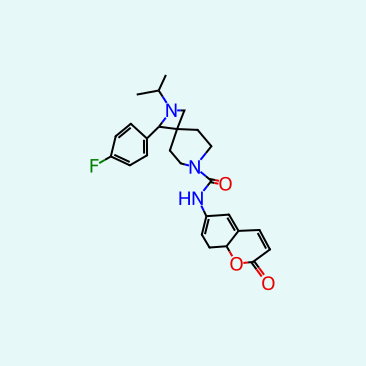 CC(C)N1CC2(CCN(C(=O)NC3=CCC4OC(=O)C=CC4=C3)CC2)C1c1ccc(F)cc1